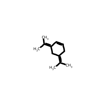 CC(C)=C1C=CCC(=C(C)C)C1